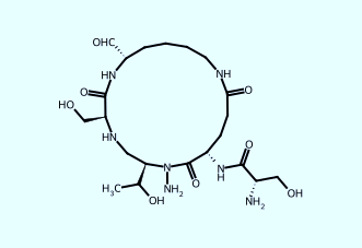 CC(O)[C@H]1CN[C@@H](CO)C(=O)N[C@H](C=O)CCCCNC(=O)CC[C@H](NC(=O)[C@@H](N)CO)C(=O)N1N